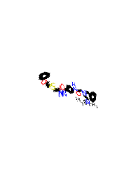 CN(C)CCN(CC(=O)Nc1ccc(-c2nnc(CSCCOc3ccccc3)o2)cc1)Cc1ccccc1